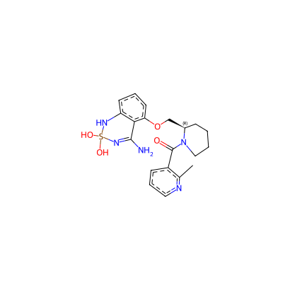 Cc1ncccc1C(=O)N1CCCC[C@@H]1COc1cccc2c1C(N)=NS(O)(O)N2